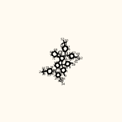 Cc1ccc(C2(c3ccc(C)cc3)c3cc(N(c4ccc(C(C)(C)C)cc4)c4ccc([Si](C)(C)C)cc4)ccc3-c3c2cc(N(c2ccc(C(C)(C)C)cc2)c2ccc([Si](C)(C)C)cc2)c2oc4ccccc4c32)cc1